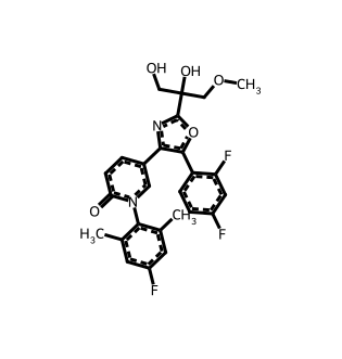 COCC(O)(CO)c1nc(-c2ccc(=O)n(-c3c(C)cc(F)cc3C)c2)c(-c2ccc(F)cc2F)o1